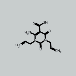 C=CCn1c(N)c(C(=S)S)c(=O)n(CC=C)c1=O